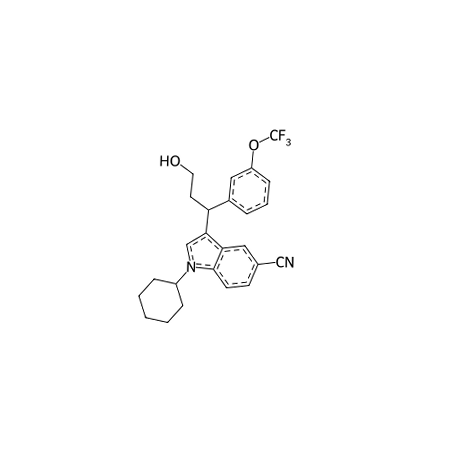 N#Cc1ccc2c(c1)c(C(CCO)c1cccc(OC(F)(F)F)c1)cn2C1CCCCC1